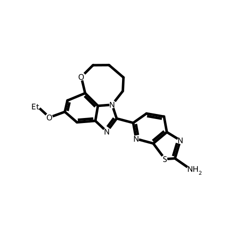 CCOc1cc2c3c(c1)nc(-c1ccc4nc(N)sc4n1)n3CCCCO2